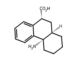 N[C@@]12CCCC[C@@H]1C[C@@H](C(=O)O)c1ccccc12